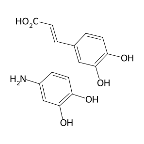 Nc1ccc(O)c(O)c1.O=C(O)C=Cc1ccc(O)c(O)c1